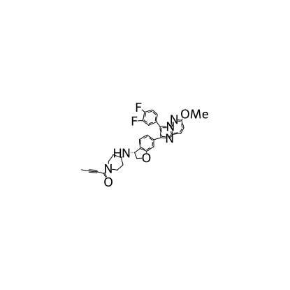 CC#CC(=O)N1CCC(N[C@H]2COc3cc(-c4nc5ccc(OC)nn5c4-c4ccc(F)c(F)c4)ccc32)CC1